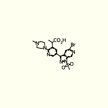 CC(C(=O)O)c1cc(-c2nn(S(C)(=O)=O)c3cnc(Br)cc23)cnc1N1CCN(C)CC1